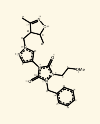 COCCn1c(=O)n(-c2cnn(CC3C(C)=NOC3C)c2)c(=O)n1Cc1ccccc1